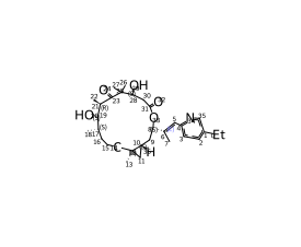 CCc1ccc(/C=C(\C)[C@@H]2C[C@@H]3C[C@@]3(C)CCC[C@H](C)[C@H](O)[C@@H](C)C(=O)C(C)(C)[C@@H](O)CC(=O)O2)nc1